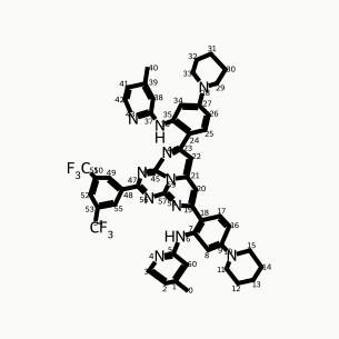 Cc1ccnc(Nc2cc(N3CCCCC3)ccc2C2=CC3=CC(c4ccc(N5CCCCC5)cc4Nc4cc(C)ccn4)=NC4=NC(c5cc(C(F)(F)F)cc(C(F)(F)F)c5)=NC(=N2)N34)c1